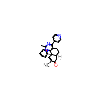 Cc1nc(-c2ccncc2)c2c(n1)[C@@]1(c3ccccc3)C=C(C#N)C(=O)[C@@H](C)[C@@H]1CC2